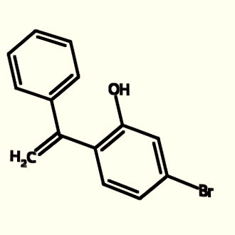 C=C(c1ccccc1)c1ccc(Br)cc1O